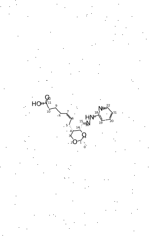 C[C@@H]1OC[C@H](C/C=C\CCCC(=O)O)[C@H](C=NNc2ccccn2)O1